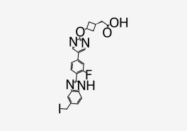 O=C(O)C[C@H]1C[C@@H](Oc2ncc(-c3ccc(-c4nc5cc(CI)ccc5[nH]4)c(F)c3)cn2)C1